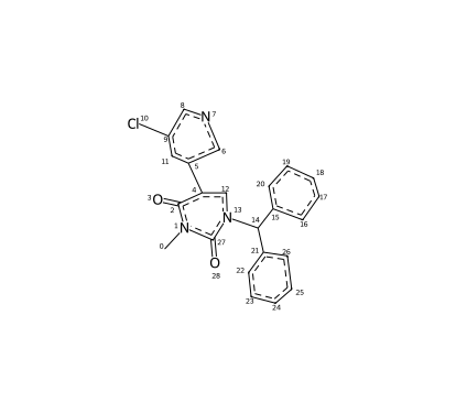 Cn1c(=O)c(-c2cncc(Cl)c2)cn(C(c2ccccc2)c2ccccc2)c1=O